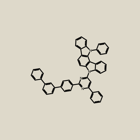 c1ccc(-c2cccc(-c3ccc(-c4nc(-c5ccccc5)cc(-n5c6ccccc6c6c5ccc5c7ccccc7n(-c7ccccc7)c56)n4)cc3)c2)cc1